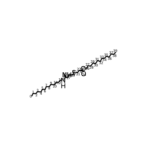 CCCCCCCCCCCCCCNC(=N)CCCSCCC(=O)OCCCCCCCCCCCCCC